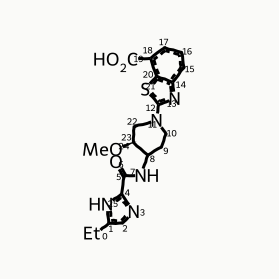 CCc1cnc(C(=O)NC2CCN(c3nc4cccc(C(=O)O)c4s3)C[C@@H]2OC)[nH]1